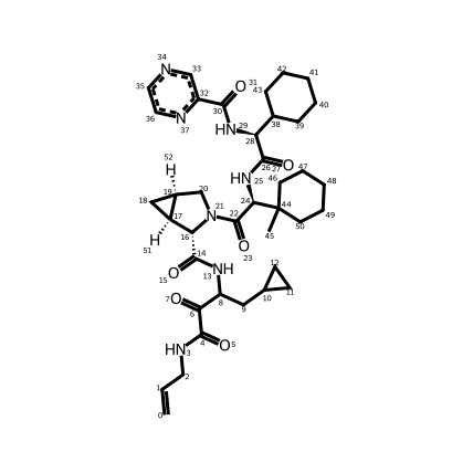 C=CCNC(=O)C(=O)C(CC1CC1)NC(=O)[C@@H]1[C@H]2C[C@H]2CN1C(=O)[C@@H](NC(=O)[C@@H](NC(=O)c1cnccn1)C1CCCCC1)C1(C)CCCCC1